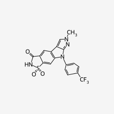 Cn1cc2c3cc4c(cc3n(-c3ccc(C(F)(F)F)cc3)c2n1)S(=O)(=O)NC4=O